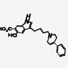 O=C(O)c1cc2[nH]cc(CCCCN3CC=C(c4ccccc4)CC3)c2cc1O